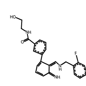 N=C1C=CC=C(c2cccc(C(=O)NCCO)c2)/C1=C/NCc1ccccc1F